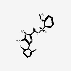 COc1ccccc1S(=O)(=O)NC(=O)c1nc(-c2c(F)cccc2F)c(C)n1C